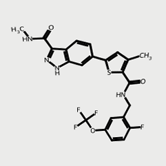 CNC(=O)c1n[nH]c2cc(-c3cc(C)c(C(=O)NCc4cc(OC(F)(F)F)ccc4F)s3)ccc12